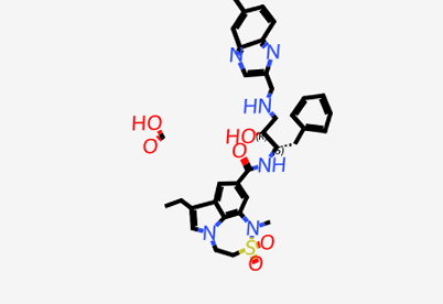 CCc1cn2c3c(cc(C(=O)N[C@@H](Cc4ccccc4)[C@H](O)CNCc4cnc5cc(C)ccc5n4)cc13)N(C)S(=O)(=O)CC2.O=CO